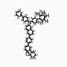 [2H]c1c([2H])c([2H])c(-c2ccc(N(c3ccc(-c4ccccc4)cc3)c3ccc4cc(-c5ccc(-c6ccc7oc8ccccc8c7c6)cc5)ccc4c3)cc2)c([2H])c1[2H]